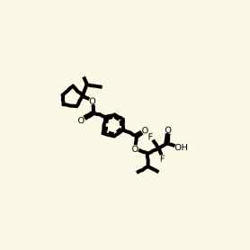 CC(C)C(OC(=O)c1ccc(C(=O)OC2(C(C)C)CCCC2)cc1)C(F)(F)C(=O)O